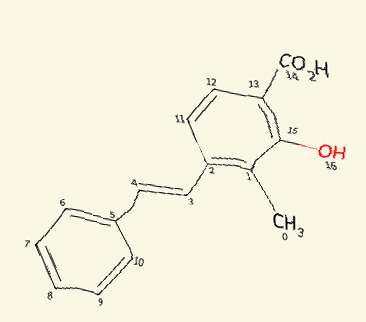 Cc1c(C=Cc2ccccc2)ccc(C(=O)O)c1O